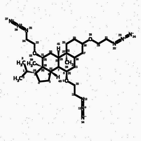 CC(C)[C@H]1CC[C@H]2C3[C@H](OCCN=[N+]=[N-])CC4CC(OCCN=[N+]=[N-])CC[C@]4(C)[C@H]3C[C@H](OCCN=[N+]=[N-])[C@]12C